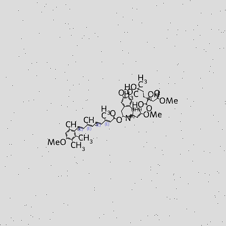 COC(=O)C[C@](O)(CCC(C)(C)O)C(=O)O[C@@H]1C(OC)=C[C@]23CCCN2C(OC(=O)/C=C(C)/C=C/C=C(C)/C=C/c2c(C)cc(OC)c(C)c2C)Cc2cc4c(cc2[C@H]13)OCO4